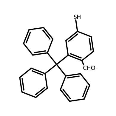 O=[C]c1ccc(S)cc1C(c1ccccc1)(c1ccccc1)c1ccccc1